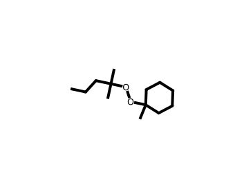 CCCC(C)(C)OOC1(C)CCCCC1